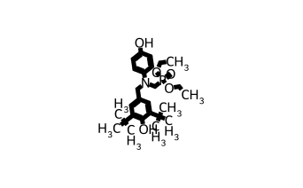 CCOP(=O)(CN(Cc1cc(C(C)(C)C)c(O)c(C(C)(C)C)c1)c1ccc(O)cc1)OCC